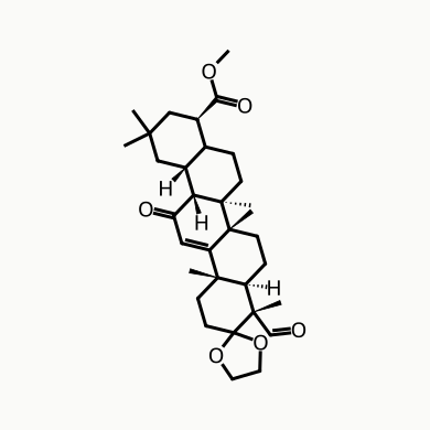 COC(=O)[C@@H]1CC(C)(C)C[C@@H]2C1CC[C@]1(C)[C@@H]2C(=O)C=C2[C@@]3(C)CCC4(OCCO4)[C@@](C)(C=O)[C@@H]3CC[C@]21C